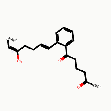 CCCCCCC/C=C(/O)CC/C=C/c1ccccc1C(=O)CCCC(=O)OC